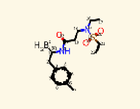 B[C@H](Cc1ccc(C)cc1)NC(=O)CCN(CC)S(=O)(=O)CC